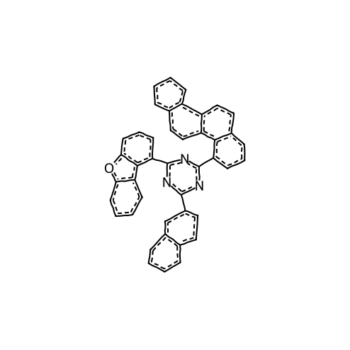 c1ccc2cc(-c3nc(-c4cccc5ccc6c7ccccc7ccc6c45)nc(-c4cccc5oc6ccccc6c45)n3)ccc2c1